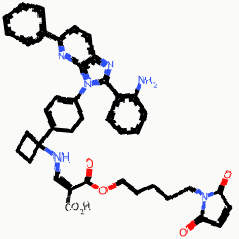 Nc1ccccc1-c1nc2ccc(-c3ccccc3)nc2n1C1=CC=C(C2(N/C=C(/C(=O)O)C(=O)OCCCCCN3C(=O)C=CC3=O)CCC2)CC1